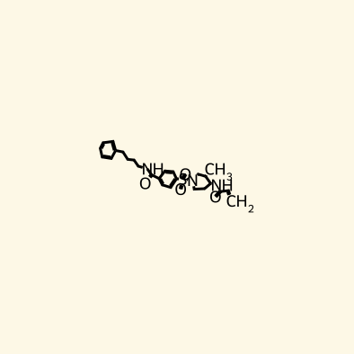 C=CC(=O)NC1CCN(S(=O)(=O)c2ccc(C(=O)NCCCCc3ccccc3)cc2)CC1C